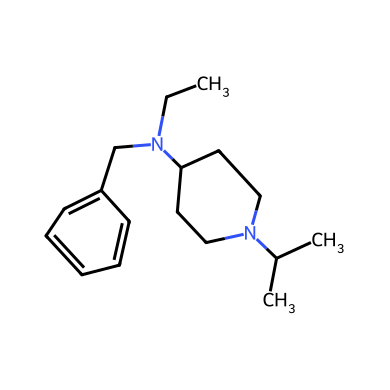 CCN(Cc1ccccc1)C1CCN(C(C)C)CC1